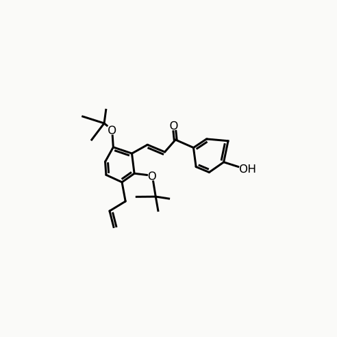 C=CCc1ccc(OC(C)(C)C)c(C=CC(=O)c2ccc(O)cc2)c1OC(C)(C)C